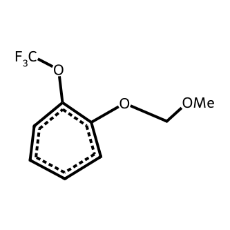 COCOc1ccccc1OC(F)(F)F